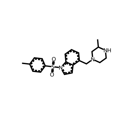 Cc1ccc(S(=O)(=O)n2ccc3c(CN4CCNC(C)C4)cccc32)cc1